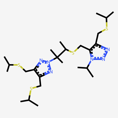 CC(C)SCc1nn(C(C)(C)C(C)SCc2c(CSC(C)C)nnn2C(C)C)nc1CSC(C)C